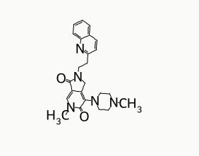 CN1CCN(c2c3c(cn(C)c2=O)C(=O)N(CCc2ccc4ccccc4n2)C3)CC1